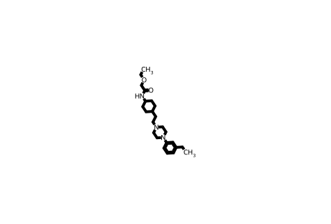 CCOCC(=O)NC1CCC(CCN2CCN(c3cccc(CC)c3)CC2)CC1